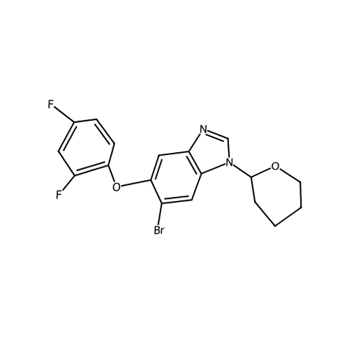 Fc1ccc(Oc2cc3ncn(C4CCCCO4)c3cc2Br)c(F)c1